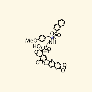 CC[C@]1(OC(=O)CN/C(Cc2ccc(OC)cc2)=N/S(=O)(=O)c2ccc3ccccc3c2)c2cc3n(c(=O)c2COC1O)Cc1cc2cc4c(cc2nc1-3)OCO4